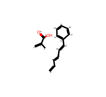 C=C(C)C(=O)O.C=CC=CC=Cc1ccccc1